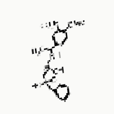 COc1ccc(C(C)NC[C@@H](O)CP(=O)(O)Cc2ccccc2)cc1C(=O)O